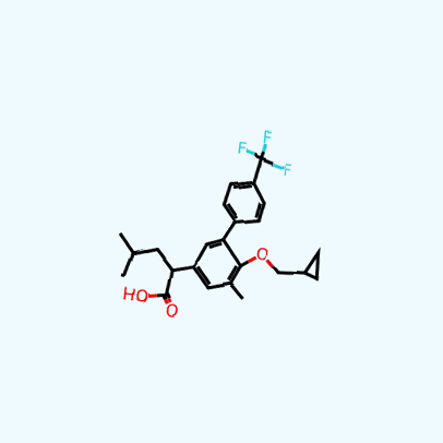 Cc1cc(C(CC(C)C)C(=O)O)cc(-c2ccc(C(F)(F)F)cc2)c1OCC1CC1